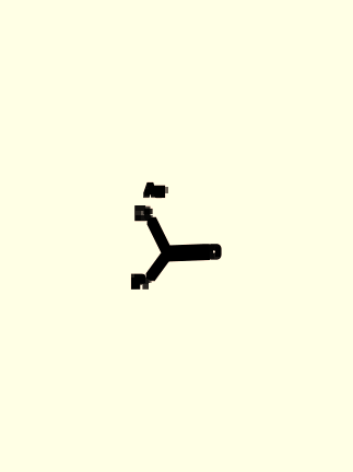 CCC(=O)C(C)C.[Au]